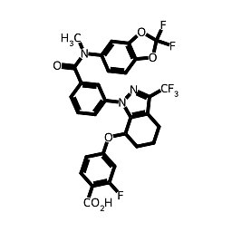 CN(C(=O)c1cccc(-n2nc(C(F)(F)F)c3c2C(Oc2ccc(C(=O)O)c(F)c2)CCC3)c1)c1ccc2c(c1)OC(F)(F)O2